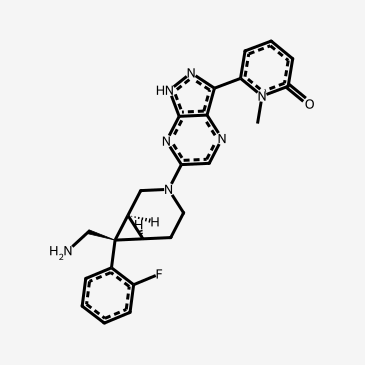 Cn1c(-c2n[nH]c3nc(N4CC[C@@H]5[C@H](C4)[C@@]5(CN)c4ccccc4F)cnc23)cccc1=O